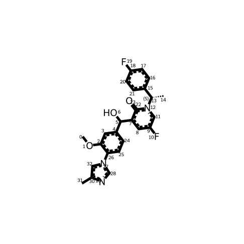 COc1cc(C(O)c2cc(F)cn([C@@H](C)c3ccc(F)cc3)c2=O)ccc1-n1cnc(C)c1